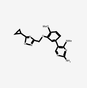 CNc1nc(N)ncc1-c1ccc(OC)c(OCc2noc(C3CC3)n2)c1